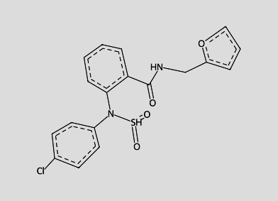 O=C(NCc1ccco1)c1ccccc1N(c1ccc(Cl)cc1)[SH](=O)=O